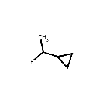 C[C](F)C1CC1